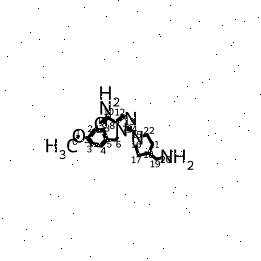 COc1ccc(Cn2c(C(N)=O)cnc2N2CCC(CN)CC2)cc1